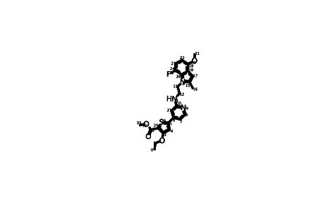 CCOc1cc(-c2ccnc(NCCn3c(C)cc4c(OC)ccc(F)c43)c2)sc1C(=O)OC